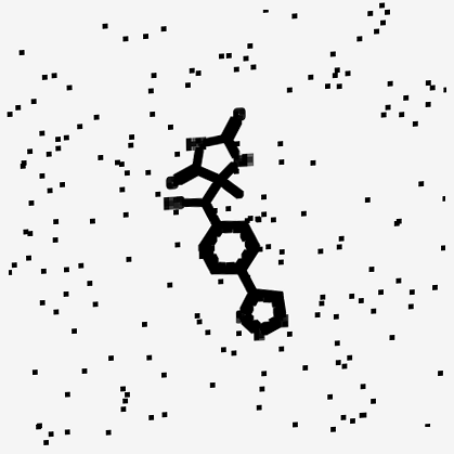 CC1(C(O)c2ccc(-c3cnns3)cc2)NC(=O)NC1=O